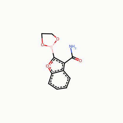 NC(=O)c1c(B2OCCO2)oc2ccccc12